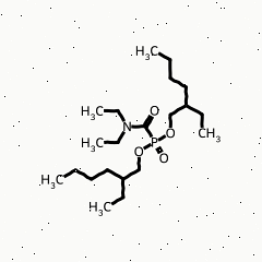 CCCCC(CC)COP(=O)(OCC(CC)CCCC)C(=O)N(CC)CC